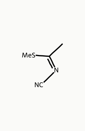 CS/C(C)=N\C#N